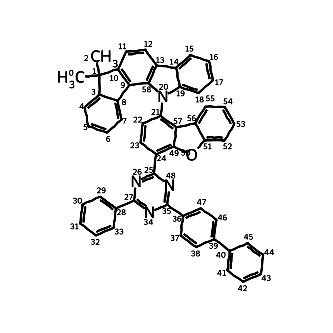 CC1(C)c2ccccc2-c2c1ccc1c3ccccc3n(-c3ccc(-c4nc(-c5ccccc5)nc(-c5ccc(-c6ccccc6)cc5)n4)c4oc5ccccc5c34)c21